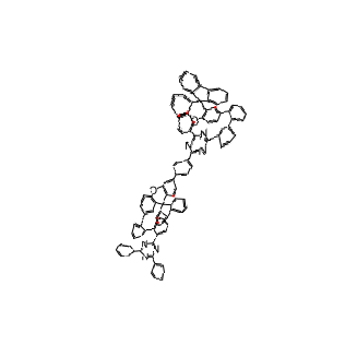 c1ccc(-c2nc(-c3ccc(-c4ccc5c(c4)Oc4ccc(-c6ccccc6-c6ccccc6-c6nc(-c7ccccc7)nc(-c7ccccc7)n6)cc4C54c5ccccc5-c5ccccc54)cc3)nc(-c3cccc(-c4ccccc4-c4ccc5c(c4)C4(c6ccccc6O5)c5ccccc5-c5ccccc54)c3)n2)cc1